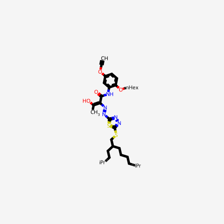 C#COc1ccc(OCCCCCC)c(NC(=O)/C(N=Nc2nnc(SCC(CCCCC(C)C)CCC(C)C)s2)=C(/C)O)c1